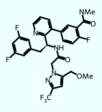 CNC(=O)c1cc(-c2cccnc2[C@H](Cc2cc(F)cc(F)c2)NC(=O)Cn2nc(C(F)(F)F)cc2COC)ccc1F